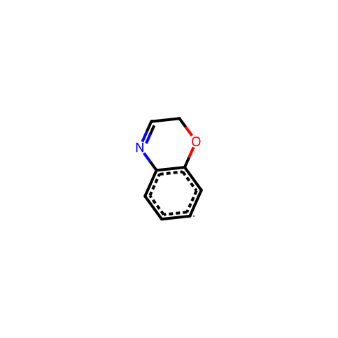 [c]1ccc2c(c1)OCC=N2